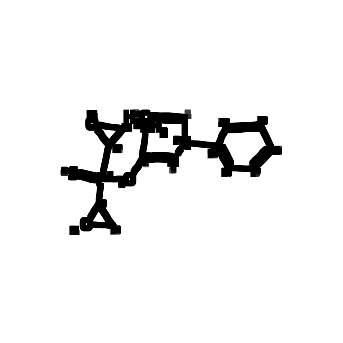 C=CN(/N=C(\N)OP(=S)(C1CO1)C1CO1)c1ccccc1